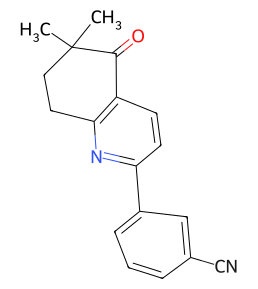 CC1(C)CCc2nc(-c3cccc(C#N)c3)ccc2C1=O